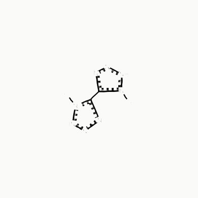 [O-][n+]1[nH]nnc1-c1nn[nH][n+]1[O-]